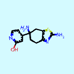 Nc1nc2c(s1)CC(N)(c1ccnc(O)c1)CC2